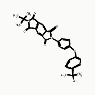 CC(C)(C)c1ccc(Oc2ccc(-n3c(=O)c4cc5c(=O)n(C(C)(C)C)c(=O)c5cc4c3=O)cc2)cc1